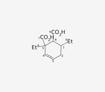 CCC1CC=CC(CC)(C(=O)O)C1C(=O)O